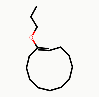 CCCO/C1=C\CCCCCCCCCC1